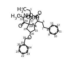 CCOC(=O)C(CCc1ccccc1)N1CC(OCc2ccccc2)CC1(C(=O)O)C(=O)C(C)N